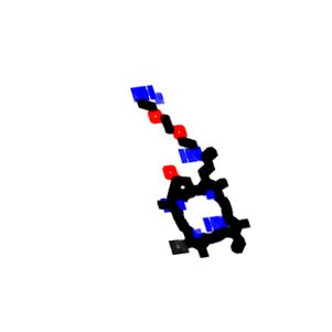 C=Cc1c(C)c2cc3nc(c4c5[nH]c(cc6nc(cc1[nH]2)C(C)=C6CC)c(C)c5C(=O)C4)C(CCC(=C)NCCOCCOCCN)=C3C